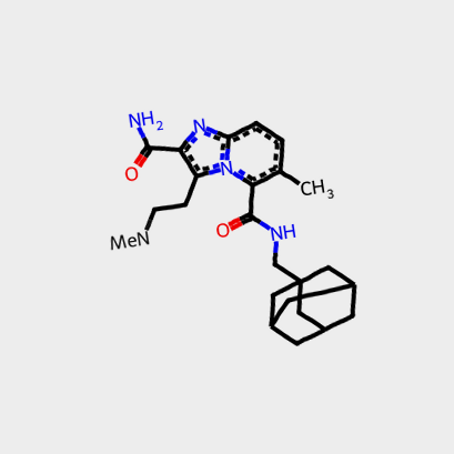 CNCCc1c(C(N)=O)nc2ccc(C)c(C(=O)NCC34CC5CC(CC(C5)C3)C4)n12